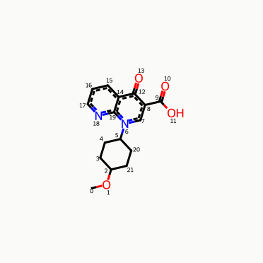 COC1CCC(n2cc(C(=O)O)c(=O)c3cccnc32)CC1